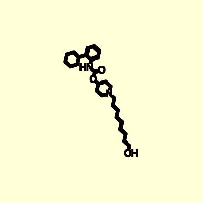 O=C(Nc1ccccc1C1CCCCC1)OC1CCN(CCCCCCCCCO)CC1